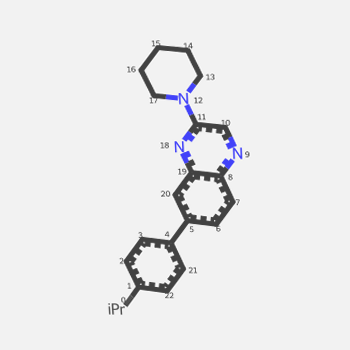 CC(C)c1ccc(-c2ccc3ncc(N4CCCCC4)nc3c2)cc1